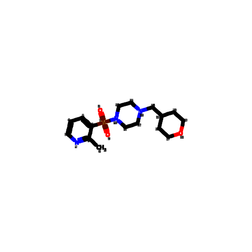 Cc1ncccc1S(=O)(=O)N1CCN(CC2CCOCC2)CC1